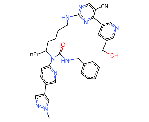 CCCC(CCCCNc1ncc(C#N)c(-c2cncc(CO)c2)n1)N(C(=O)NCc1ccccc1)c1ccc(-c2cnn(C)c2)cn1